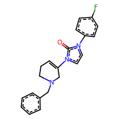 O=c1n(C2=CCCN(Cc3ccccc3)C2)ccn1-c1ccc(F)cc1